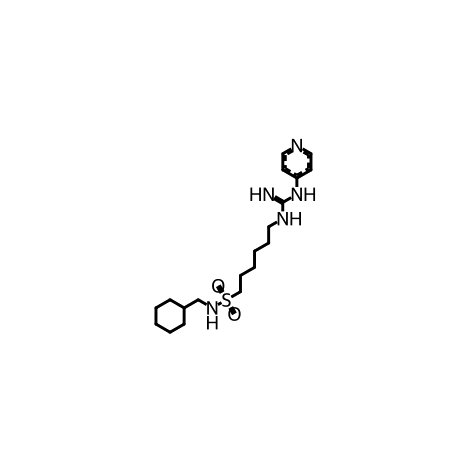 N=C(NCCCCCCS(=O)(=O)NCC1CCCCC1)Nc1ccncc1